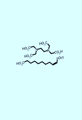 CCCCCCCC/C=C\CCCCCCCC(=O)O.O=C(O)CN(CCN(CC(=O)O)CC(=O)O)CC(=O)O